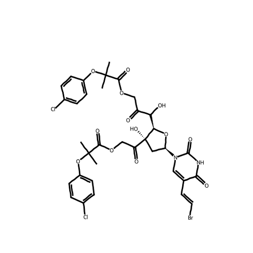 CC(C)(Oc1ccc(Cl)cc1)C(=O)OCC(=O)C(O)[C@H]1O[C@@H](n2cc(/C=C/Br)c(=O)[nH]c2=O)C[C@@]1(O)C(=O)COC(=O)C(C)(C)Oc1ccc(Cl)cc1